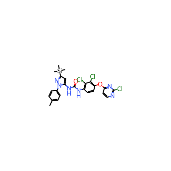 Cc1ccc(-n2nc([Si](C)(C)C)cc2NC(=O)Nc2ccc(Oc3ccnc(Cl)n3)c(Cl)c2Cl)cc1